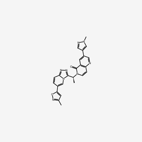 Cc1cc(-c2ccc3nnc([C@H](C)n4ccc5ncc(-c6cnn(C)c6)cc5c4=O)n3c2)on1